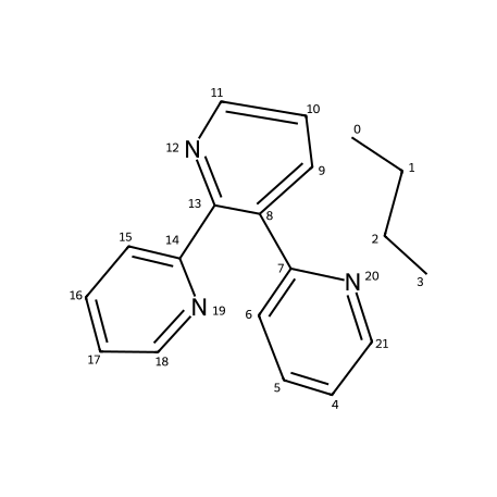 CCCC.c1ccc(-c2cccnc2-c2ccccn2)nc1